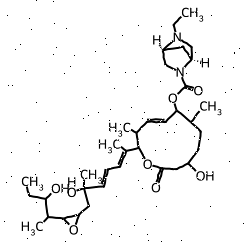 CCC(O)C(C)C1OC1CC(C)(O)/C=C/C=C(\C)C1OC(=O)CC(O)CCC(C)C(OC(=O)N2C[C@@H]3C[C@H]2CN3CC)/C=C/C1C